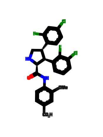 COc1cc(C(=O)O)ccc1NC(=O)[C@@H]1NC[C@H](c2ccc(Cl)cc2F)[C@H]1c1cccc(Cl)c1F